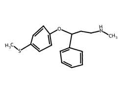 CNCCC(Oc1ccc(SC)cc1)c1ccccc1